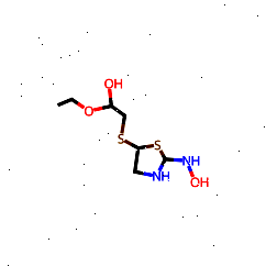 CCOC(O)CSC1CNC(NO)S1